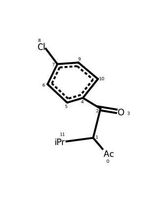 CC(=O)C(C(=O)c1ccc(Cl)cc1)C(C)C